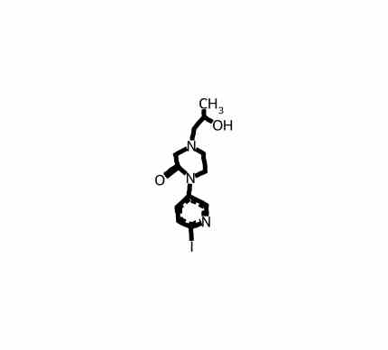 CC(O)CN1CCN(c2ccc(I)nc2)C(=O)C1